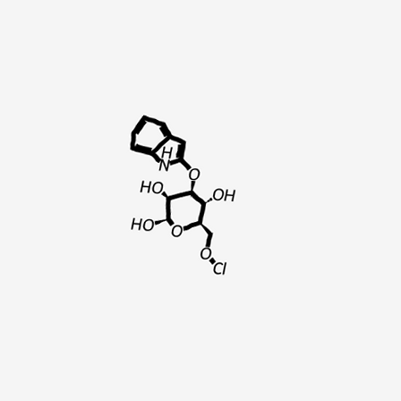 O[C@H]1[C@@H](Oc2cc3ccccc3[nH]2)[C@H](O)[C@@H](COCl)O[C@H]1O